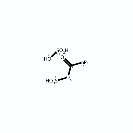 CCCC(=O)OS(=O)(=O)O.O=S(=O)(O)O